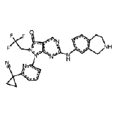 N#CC1(c2cccc(-n3c4nc(Nc5ccc6c(c5)CNCC6)ncc4c(=O)n3CC(F)(F)F)n2)CC1